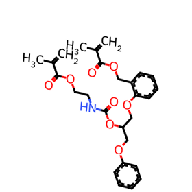 C=C(C)C(=O)OCCNC(=O)OC(COc1ccccc1)COc1ccccc1COC(=O)C(=C)C